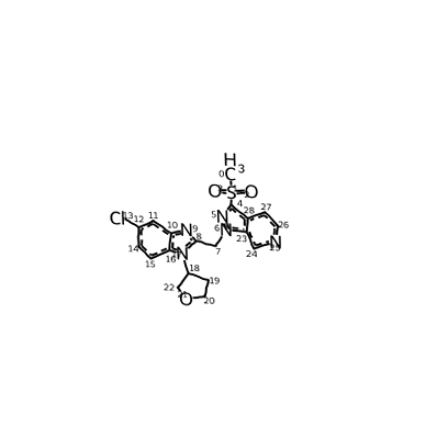 CS(=O)(=O)c1nn(Cc2nc3cc(Cl)ccc3n2C2CCOC2)c2cnccc12